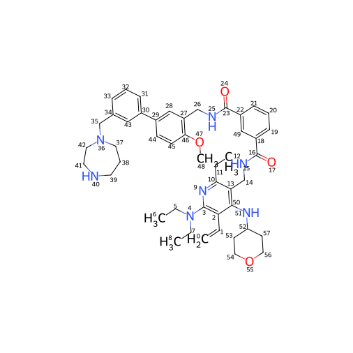 C=Cc1c(N(CC)CC)nc(CC)c(CNC(=O)c2cccc(C(=O)NCc3cc(-c4cccc(CN5CCCNCC5)c4)ccc3OC)c2)c1NC1CCOCC1